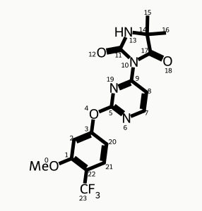 COc1cc(Oc2nccc(N3C(=O)NC(C)(C)C3=O)n2)ccc1C(F)(F)F